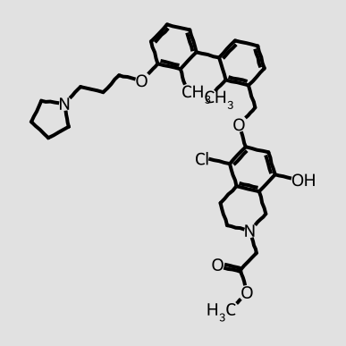 COC(=O)CN1CCc2c(Cl)c(OCc3cccc(-c4cccc(OCCCN5CCCC5)c4C)c3C)cc(O)c2C1